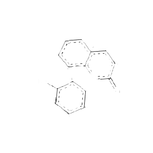 O=c1ccc2ccccc2o1.Oc1ccccc1